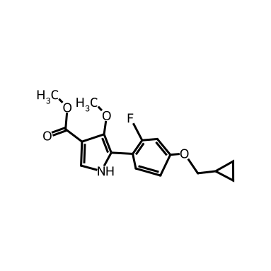 COC(=O)c1c[nH]c(-c2ccc(OCC3CC3)cc2F)c1OC